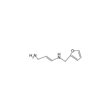 NCC=CNCc1ccco1